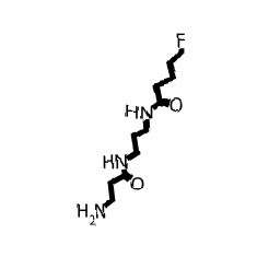 NCCC(=O)NCCCNC(=O)CCCCF